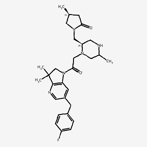 CC1CN(CC(=O)N2CC(C)(C)c3ncc(Cc4ccc(F)cc4)cc32)[C@@H](CN2C[C@@H](C)CC2=O)CN1